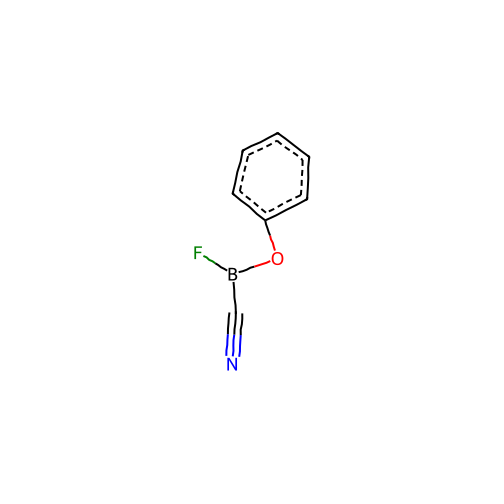 N#CB(F)Oc1ccccc1